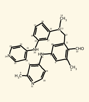 Cc1cc(Nc2cc(C)c(C=O)c(CN(C)c3cccc(Nc4ccncc4)c3)c2)ccn1